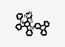 c1ccc(-n2c3ccccc3c3c4c5ccccc5n(-c5ccc6c7ccccc7c7ccccc7c6c5)c4c4sc5cncnc5c4c32)cc1